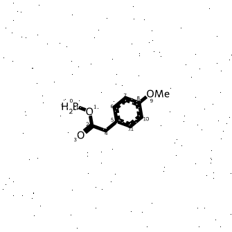 BOC(=O)Cc1ccc(OC)cc1